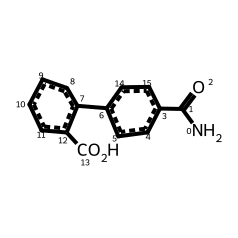 NC(=O)c1ccc(-c2ccccc2C(=O)O)cc1